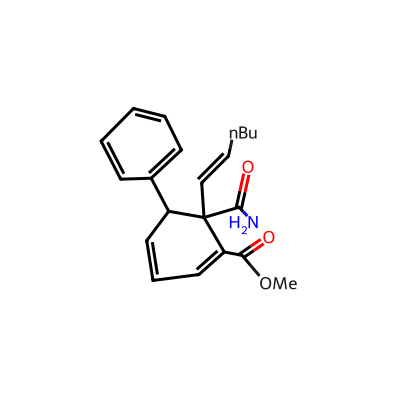 CCCCC=CC1(C(N)=O)C(C(=O)OC)=CC=CC1c1ccccc1